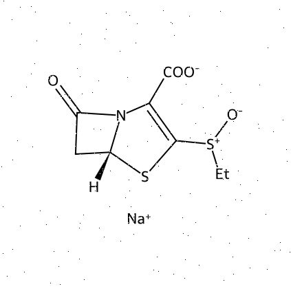 CC[S+]([O-])C1=C(C(=O)[O-])N2C(=O)C[C@H]2S1.[Na+]